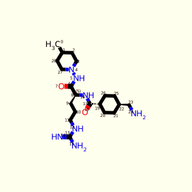 CC1CCN(NC(=O)[C@H](CCCNC(=N)N)NC(=O)[C@H]2CC[C@H](CN)CC2)CC1